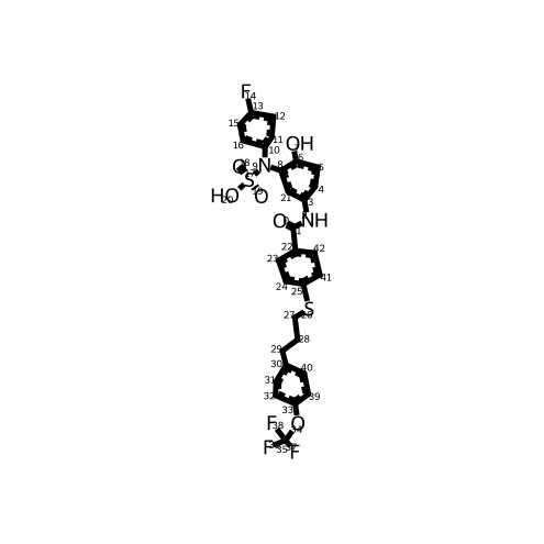 O=C(Nc1ccc(O)c(N(c2ccc(F)cc2)S(=O)(=O)O)c1)c1ccc(SCCCc2ccc(OC(F)(F)F)cc2)cc1